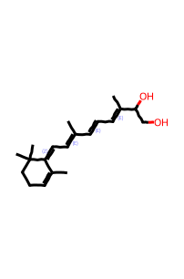 CC1=CCCC(C)(C)/C1=C/C=C(C)/C=C/C=C(\C)C(O)CO